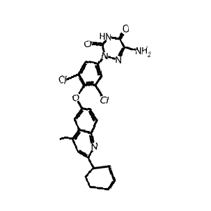 Cc1cc(C2CCCCC2)nc2ccc(Oc3c(Cl)cc(-n4nc(N)c(=O)[nH]c4=O)cc3Cl)cc12